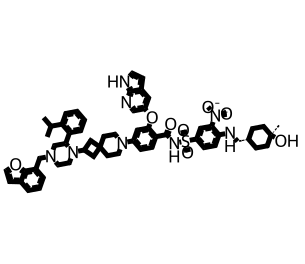 CC(C)c1ccccc1C1CN(Cc2cccc3ccoc23)CCN1C1CC2(CCN(c3ccc(C(=O)NS(=O)(=O)c4ccc(NC[C@H]5CC[C@](C)(O)CC5)c([N+](=O)[O-])c4)c(Oc4cnc5[nH]ccc5c4)c3)CC2)C1